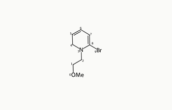 COCCN1CC=CC=C1Br